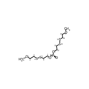 COCCSSCCO[PH](=O)OCCSSCCOC